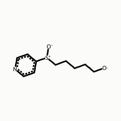 [O]CCCCC[S+]([O-])c1ccncc1